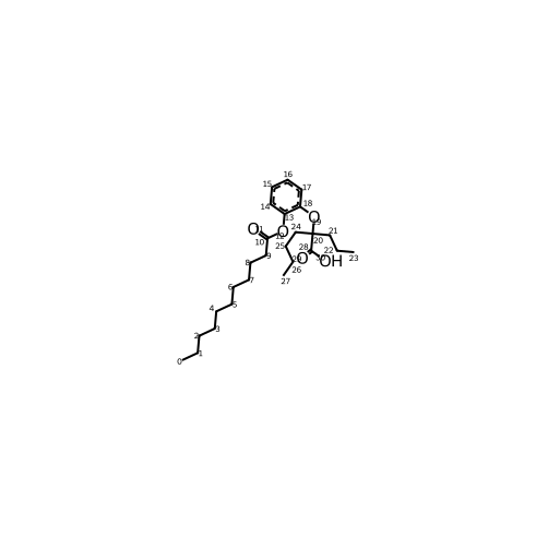 CCCCCCCCCCC(=O)Oc1ccccc1OC(CCC)(CCCC)C(=O)O